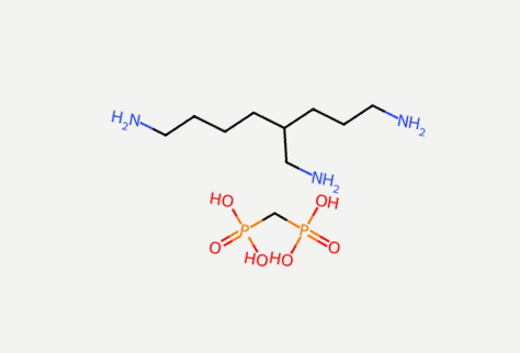 NCCCCC(CN)CCCN.O=P(O)(O)CP(=O)(O)O